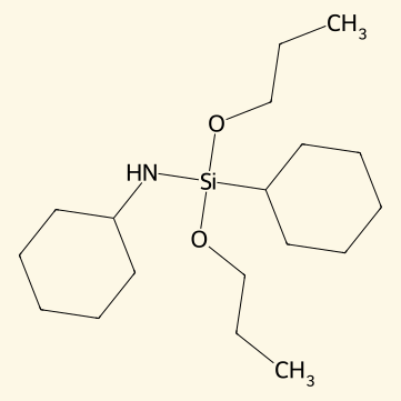 CCCO[Si](NC1CCCCC1)(OCCC)C1CCCCC1